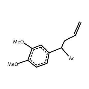 C=CCC(C(C)=O)c1ccc(OC)c(OC)c1